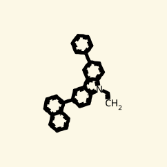 C=Cn1c2ccc(-c3ccccc3)cc2c2cc(-c3cccc4ccccc34)ccc21